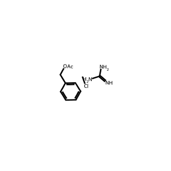 CC(=O)OCc1ccccc1.CCl.N=C(N)N